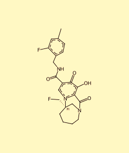 Cc1ccc(CNC(=O)c2cn3c(c(O)c2=O)C(=O)N2CCCC[C@]3(CF)C2)c(F)c1